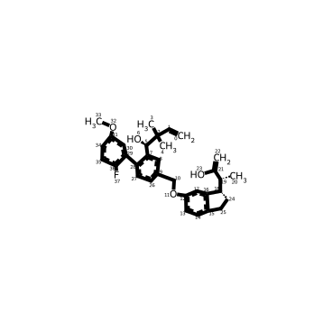 C=CC(C)(C)[C@H](O)c1cc(COc2ccc3c(c2)[C@H]([C@@H](C)C(=C)O)CC3)ccc1-c1cc(OC)ccc1F